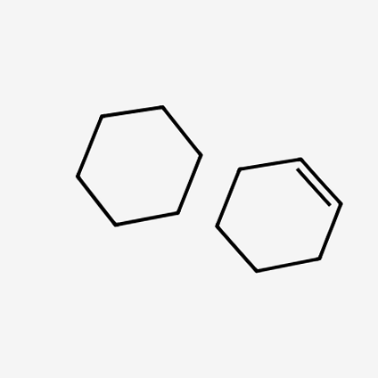 C1=CCCCC1.C1CCCCC1